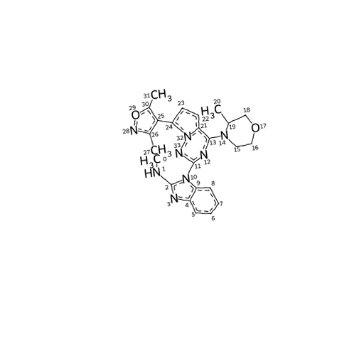 CNc1nc2ccccc2n1-c1nc(N2CCOCC2C)c2ccc(-c3c(C)noc3C)n2n1